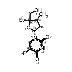 CC[C@]1(CO)O[C@@H](n2cc(F)c(=O)[nH]c2=O)C[C@@H]1C